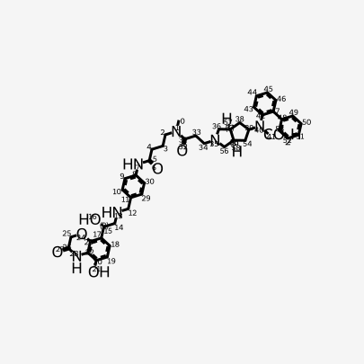 CN(CCCC(=O)Nc1ccc(CNC[C@H](O)c2ccc(O)c3c2OCC(=O)N3)cc1)C(=O)CCN1C[C@H]2CC(N(C(=O)O)c3ccccc3-c3ccccc3)C[C@H]2C1